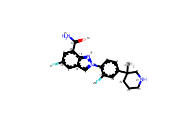 BC1(c2ccc(-n3cc4cc(F)cc(C(N)=O)c4n3)c(F)c2)CCCNC1